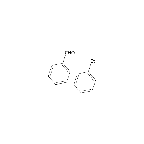 CCc1ccccc1.O=Cc1ccccc1